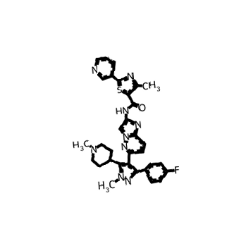 Cc1nc(-c2cccnc2)sc1C(=O)Nc1cn2nc(-c3c(-c4ccc(F)cc4)nn(C)c3C3CCN(C)CC3)ccc2n1